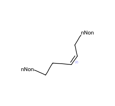 CCCCCCCCCC/C=C\CCCCCCCCCCC